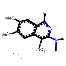 COc1cc2c(C)nc(N(C)C)c([N+](=O)[O-])c2cc1OC